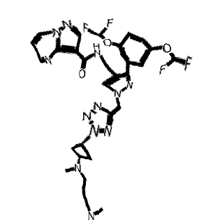 CN(C)CCN(C)[C@H]1C[C@@H](n2nnc(Cn3cc(NC(=O)c4cnn5cccnc45)c(-c4cc(OC(F)F)ccc4OC(F)F)n3)n2)C1